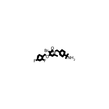 Cc1cc(OCc2ccc(F)cc2F)c(Br)c(=O)n1Cc1ccc(C(C)(C)N)cc1